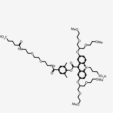 COCCOCC(COCCOC)Oc1ccc2c(c1)c(C(=O)Oc1c(C)cc(C(=O)NCCOCCOCCNC(=O)CCCC(=O)O)cc1C)c1cc(OC(COCCOC)COCCOC)ccc1[n+]2CCCS(=O)(=O)O